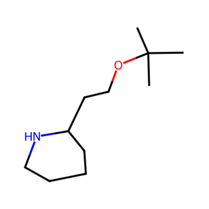 CC(C)(C)OCCC1CCCCN1